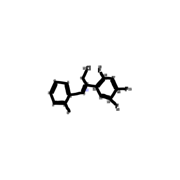 Cc1ccccc1/C=C(\CCl)c1cc(F)c(F)cc1F